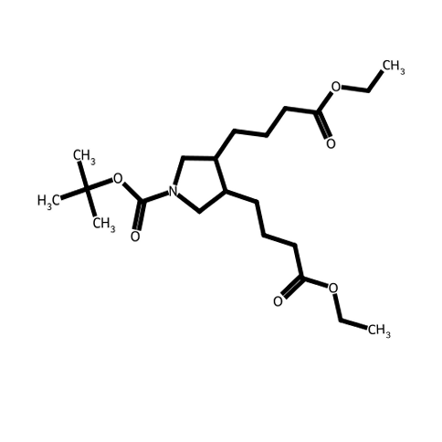 CCOC(=O)CCCC1CN(C(=O)OC(C)(C)C)CC1CCCC(=O)OCC